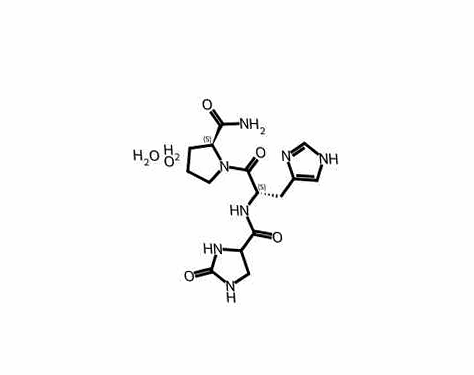 NC(=O)[C@@H]1CCCN1C(=O)[C@H](Cc1c[nH]cn1)NC(=O)C1CNC(=O)N1.O.O